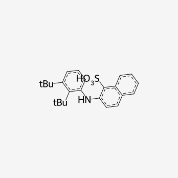 CC(C)(C)c1cccc(Nc2ccc3ccccc3c2S(=O)(=O)O)c1C(C)(C)C